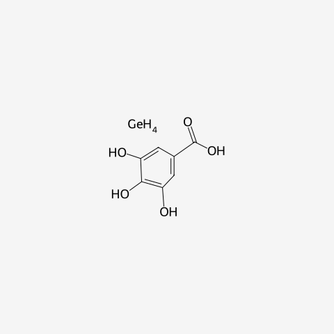 O=C(O)c1cc(O)c(O)c(O)c1.[GeH4]